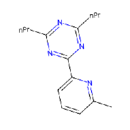 CCCc1nc(CCC)nc(-c2cccc(C)n2)n1